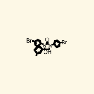 Cc1cccc(C2(O)CN(c3ccc(Br)cc3)C(=O)N2c2ccc(Br)cc2)c1